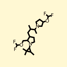 CC(CC1CCN(C2C(C)C2(C)C)C1COC(F)F)C(C)N1CCC(OC(F)F)C1